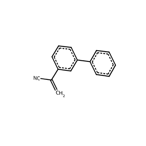 C=C(C#N)c1cccc(-c2ccccc2)c1